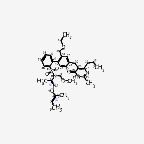 C/C=C(\C)O/N=C(\C)N(COC)S(=O)(=O)c1ccccc1-c1ccc(Cc2c(CCC)nc(C)[nH]c2=O)cc1COCC